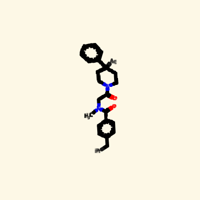 CC(=O)C1(c2ccccc2)CCN(C(=O)CN(C)C(=O)c2ccc(CC(C)C)cc2)CC1